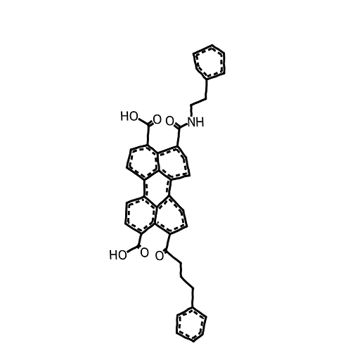 O=C(O)c1ccc2c3ccc(C(=O)O)c4c(C(=O)NCCc5ccccc5)ccc(c5ccc(C(=O)CCCc6ccccc6)c1c25)c43